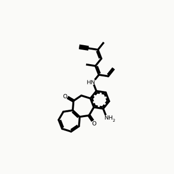 C#C/C(C)=C\C(C)=C(/C=C)Nc1ccc(N)c2c1CC(=O)C1=C(C=CC=CC1)C2=O